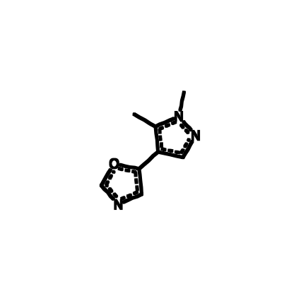 Cc1c(-c2cnco2)cnn1C